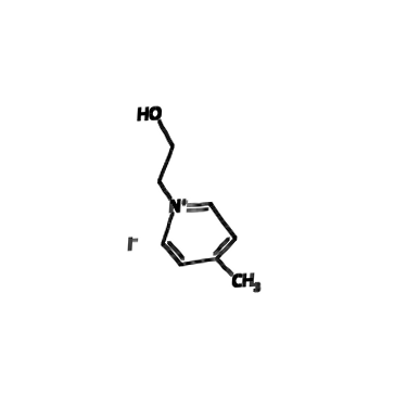 Cc1cc[n+](CCO)cc1.[I-]